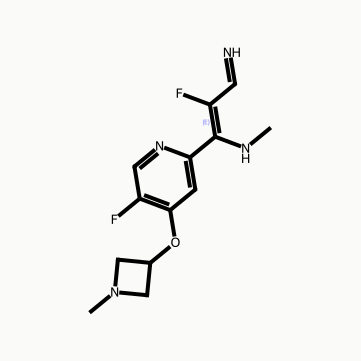 CN/C(=C(/F)C=N)c1cc(OC2CN(C)C2)c(F)cn1